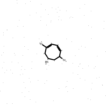 [2H]C1=CC=CC([2H])CCC1.[Rh]